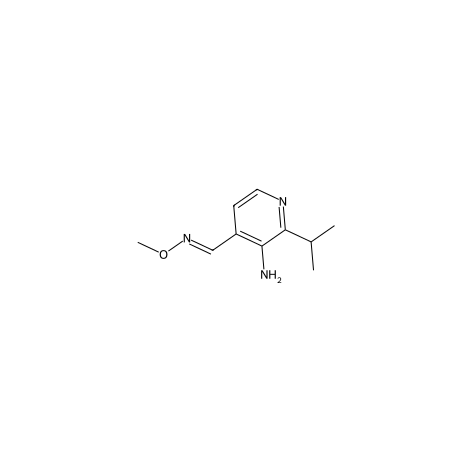 CON=Cc1ccnc(C(C)C)c1N